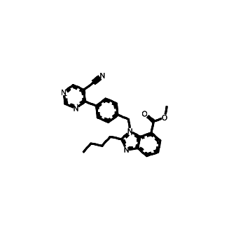 CCCCc1nc2cccc(C(=O)OC)c2n1Cc1ccc(-c2ncncc2C#N)cc1